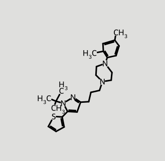 Cc1ccc(N2CCN(CCCc3cc(-c4cccs4)n(C(C)(C)C)n3)CC2)c(C)c1